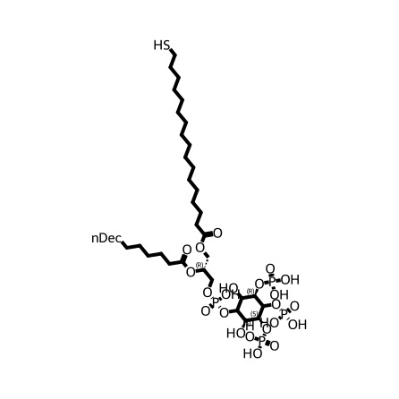 CCCCCCCCCCCCCCCC(=O)O[C@H](COC(=O)CCCCCCCCCCCCCCCCS)COP(=O)(O)OC1C(O)[C@@H](OP(=O)(O)O)C(OP(=O)(O)O)[C@@H](OP(=O)(O)O)[C@H]1O